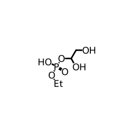 CCOP(=O)(O)OC(O)CO